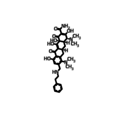 CN(C)c1c(CNCCc2ccccc2)cc(O)c2c1C[C@H]1C[C@H]3[C@H](N(C)C)C(O)=C(C(N)=O)C(=O)[C@@]3(O)C(O)=C1C2=O